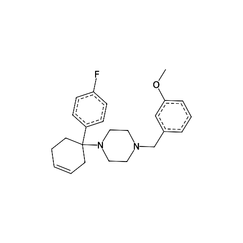 COc1cccc(CN2CCN(C3(c4ccc(F)cc4)CC=CCC3)CC2)c1